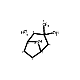 Cl.OC1(C(F)(F)F)CC2CCC(C1)N2